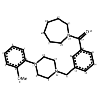 COc1ccccc1N1CCN(Cc2cccc(C(=O)N3CCCCCC3)c2)CC1